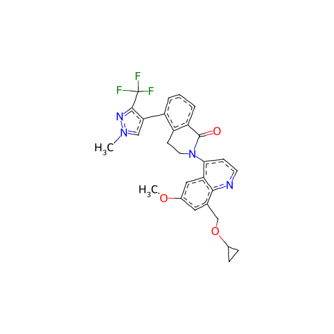 COc1cc(COC2CC2)c2nccc(N3CCc4c(cccc4-c4cn(C)nc4C(F)(F)F)C3=O)c2c1